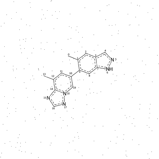 Cc1cc2cn[nH]c2cc1-c1cc(C)c2ncnn2c1